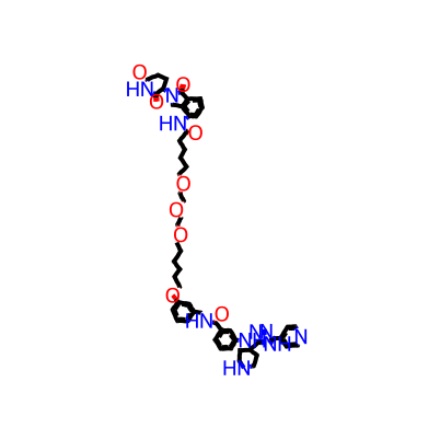 O=C1CCC(N2Cc3c(NC(=O)CCCCCOCCOCCOCCCCCCOc4cccc(CNC(=O)c5cccc(NC6(c7nnc(-c8ccncc8)[nH]7)CCNCC6)c5)c4)cccc3C2=O)C(=O)N1